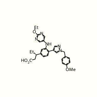 CCOc1ncc(Nc2cc([C@H](CC)CC(=O)O)ccc2-c2cnn(Cc3ccc(OC)cc3)c2)cn1